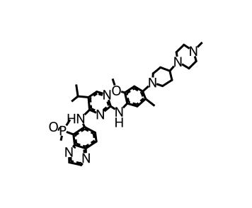 COc1cc(N2CCC(N3CCN(C)CC3)CC2)c(C)cc1Nc1ncc(C(C)C)c(Nc2ccc3nccnc3c2P(C)(C)=O)n1